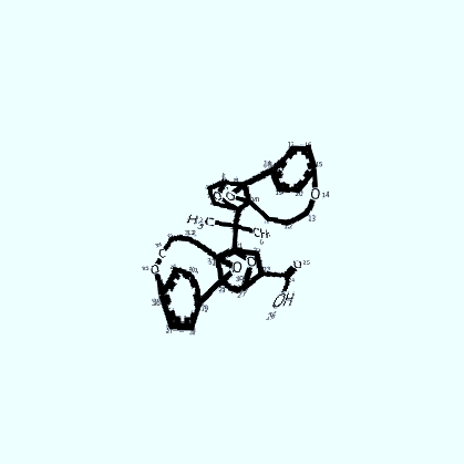 [CH]C(C)(C12CCC(O1)C13OC12CCCOc1ccc3cc1)C12CC(C(=O)O)C(O1)C13OC12CCCOc1ccc3cc1